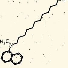 CCCCCCCCCCCCN(C)c1cccc2ccccc12